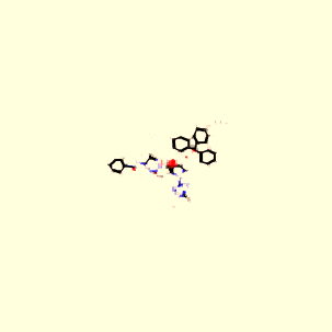 COc1ccc(C(OC[C@@]23CN(c4nc(C)n(C)n4)[C@@H]([C@H](n4cc(C)c(NC(=O)c5ccccc5)nc4=O)O2)[C@@H]3O)(c2ccccc2)c2ccc(OC)cc2)cc1